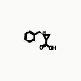 O=C(O)C1C[C@H]1Cc1ccccc1